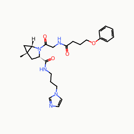 C[C@@]12C[C@@H]1N(C(=O)CNC(=O)CCCOc1ccccc1)[C@H](C(=O)NCCCn1ccnc1)C2